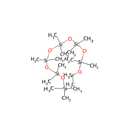 C[SiH2]O[Si](C)(C)O[Si](C)(C)O[Si](C)(C)O[Si](C)(C)O[Si](C)(C)O[Si](C)(C)C